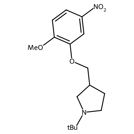 COc1ccc([N+](=O)[O-])cc1OCC1CCN(C(C)(C)C)C1